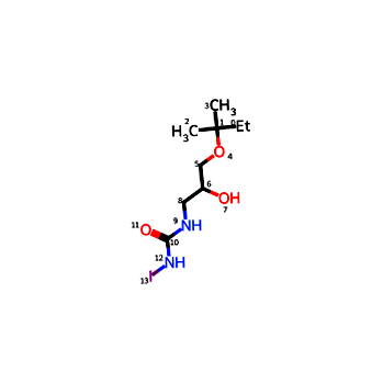 CCC(C)(C)OCC(O)CNC(=O)NI